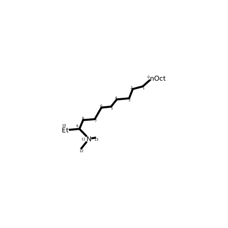 CCCCCCCCCCCCCCCCC(CC)N(C)C